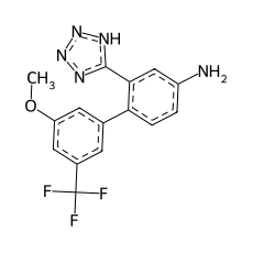 COc1cc(-c2ccc(N)cc2-c2nnn[nH]2)cc(C(F)(F)F)c1